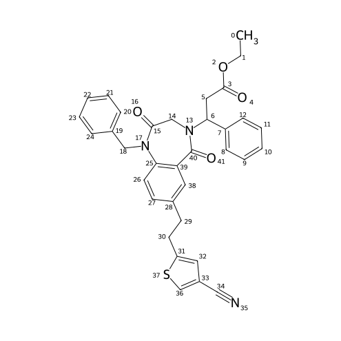 CCOC(=O)CC(c1ccccc1)N1CC(=O)N(Cc2ccccc2)c2ccc(CCc3cc(C#N)cs3)cc2C1=O